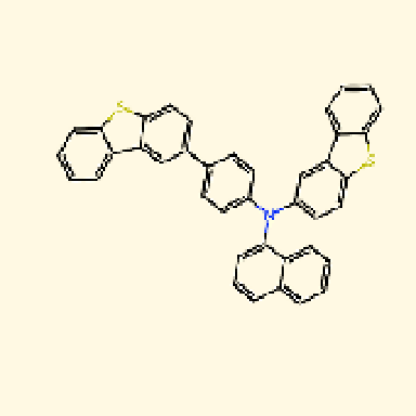 c1ccc2c(N(c3ccc(-c4ccc5sc6ccccc6c5c4)cc3)c3ccc4sc5ccccc5c4c3)cccc2c1